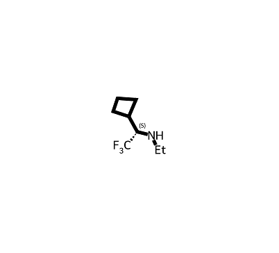 CCN[C@@H](C1CCC1)C(F)(F)F